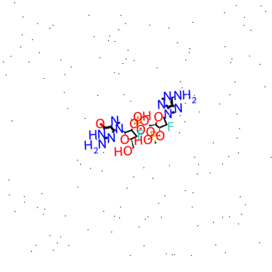 CP(=O)(O)O[C@@H]1C(F)[C@H](n2cnc3c(N)ncnc32)O[C@@H]1COP(=O)(O)OC1C(F)[C@@H](CO)O[C@H]1n1cnc2c(=O)[nH]c(N)nc21